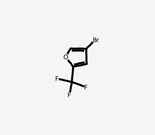 FC(F)(F)c1cc(Br)co1